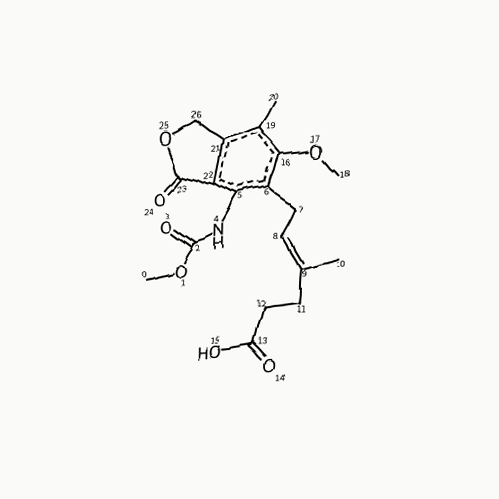 COC(=O)Nc1c(C/C=C(\C)CCC(=O)O)c(OC)c(C)c2c1C(=O)OC2